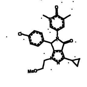 COCCn1nc(C2CC2)c2c1C(c1ccc(Cl)cc1)N(c1cc(C)c(=O)n(C)c1)C2=O